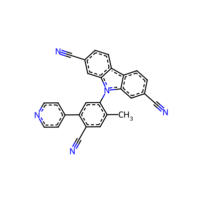 Cc1cc(C#N)c(-c2ccncc2)cc1-n1c2cc(C#N)ccc2c2ccc(C#N)cc21